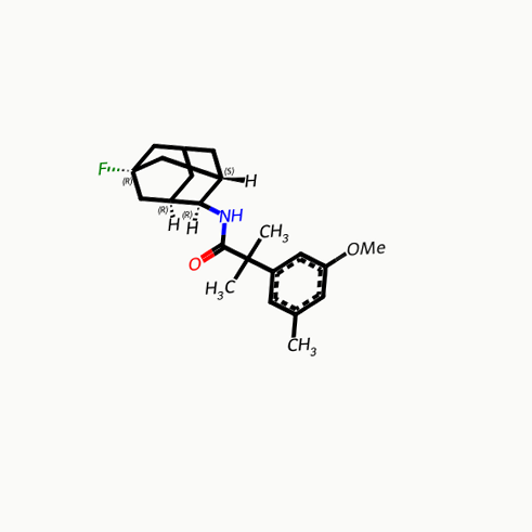 COc1cc(C)cc(C(C)(C)C(=O)N[C@H]2[C@@H]3CC4C[C@H]2C[C@](F)(C4)C3)c1